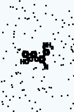 N#Cc1cc(Oc2cccc(-c3ccccc3C(=O)O)c2)cc(-c2cccc(CN)c2)c1